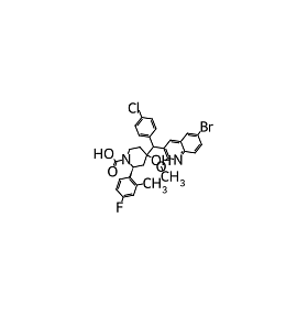 COc1nc2ccc(Br)cc2cc1C(c1ccc(Cl)cc1)C1(O)CCN(C(=O)O)[C@H](c2ccc(F)cc2C)C1